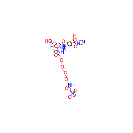 CC(C)[C@H](NC(=O)CCOCCOCCOCCOCCNC(=O)CCN1C(=O)C=CC1=O)C(=O)N[C@@H](CCCNO)C(=O)Nc1ccc(C(O)C(=O)N2CCN(C)CC2)cc1